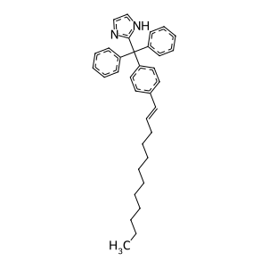 CCCCCCCCCCC=Cc1ccc(C(c2ccccc2)(c2ccccc2)c2ncc[nH]2)cc1